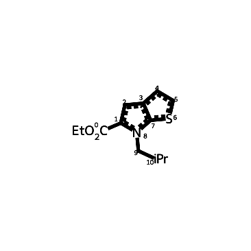 CCOC(=O)c1cc2ccsc2n1CC(C)C